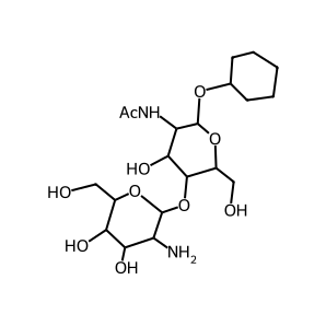 CC(=O)NC1C(OC2CCCCC2)OC(CO)C(OC2OC(CO)C(O)C(O)C2N)C1O